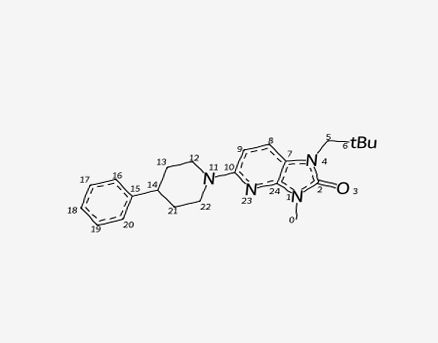 Cn1c(=O)n(CC(C)(C)C)c2ccc(N3CCC(c4ccccc4)CC3)nc21